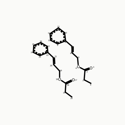 CCC(=O)OCC=Cc1ccccc1.CCC(=O)OCC=Cc1ccccc1